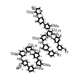 CCOc1cccc(-c2cc(F)c(Nc3ncccc3C(=O)O)c(F)c2)c1.CCOc1cccc(-c2ccc(Nc3cnccc3C(=O)[O-])c(F)c2)c1.COc1cccc(-c2cc(F)c(Nc3ncccc3C(=O)O)c(F)c2)c1.COc1cccc(-c2ccc(Nc3cnccc3C(=O)[O-])c(F)c2)c1.COc1cccc(-c2ccc(Nc3cnccc3C(=O)[O-])c(OC(F)(F)F)c2)c1.[Li+].[Li+].[Li+]